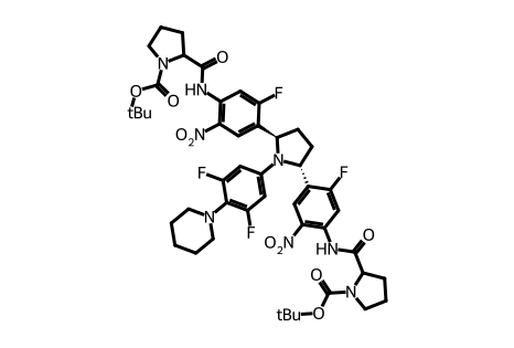 CC(C)(C)OC(=O)N1CCCC1C(=O)Nc1cc(F)c([C@H]2CC[C@H](c3cc([N+](=O)[O-])c(NC(=O)C4CCCN4C(=O)OC(C)(C)C)cc3F)N2c2cc(F)c(N3CCCCC3)c(F)c2)cc1[N+](=O)[O-]